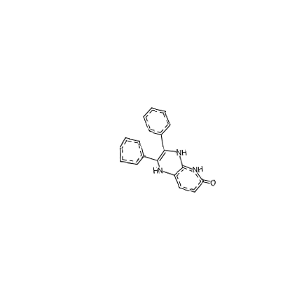 O=c1ccc2c([nH]1)NC(c1ccccc1)=C(c1ccccc1)N2